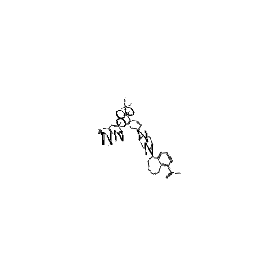 C=C(C)c1cccc2c1CCCCC2N1CCN(c2ccc(C(=O)OC(C)(C)C)c(Oc3cnc4c(ccn4C)c3)c2)CC1